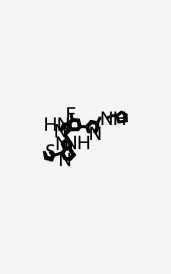 Fc1cc(-c2cncc(CNCC3CCCC3)c2)cc2c(-c3nc4c(-c5cccs5)nccc4[nH]3)n[nH]c12